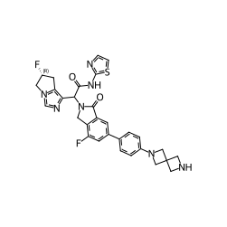 O=C(Nc1nccs1)C(c1ncn2c1C[C@@H](F)C2)N1Cc2c(F)cc(-c3ccc(N4CC5(CNC5)C4)cc3)cc2C1=O